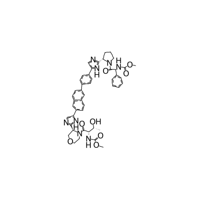 COC(=O)N[C@H](C(=O)N1CCOC[C@H]1c1ncc(-c2ccc3cc(-c4ccc(-c5cnc([C@@H]6CCCN6C(=O)[C@H](NC(=O)OC)c6ccccc6)[nH]5)cc4)ccc3c2)[nH]1)[C@@H](C)O